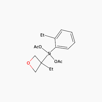 CCc1ccccc1[Si](OC(C)=O)(OC(C)=O)C1(CC)COC1